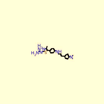 Cc1nc(N=C(N)N)sc1-c1ccc(NC/C=C/c2ccc(N(C)C)cc2)cc1